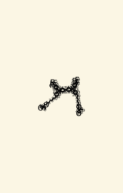 CCC1(COCCCCCCc2ccc(N(c3ccc(-c4ccc(N(c5ccc(CCCCCCOCC6(CC)COC6)cc5)c5ccc(C(F)(F)F)cc5)cc4)cc3)c3ccc(C(F)(F)F)cc3)cc2)COC1